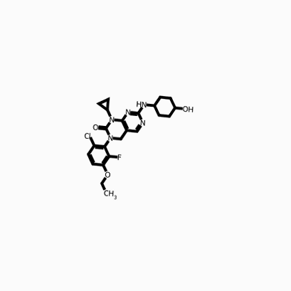 CCOc1ccc(Cl)c(N2Cc3cnc(NC4CCC(O)CC4)nc3N(C3CC3)C2=O)c1F